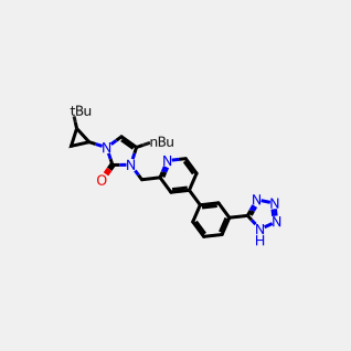 CCCCc1cn(C2CC2C(C)(C)C)c(=O)n1Cc1cc(-c2cccc(-c3nnn[nH]3)c2)ccn1